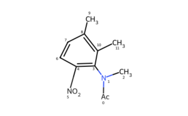 CC(=O)N(C)c1c([N+](=O)[O-])ccc(C)c1C